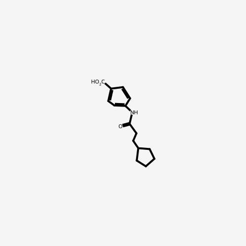 O=C(CCC1CCCC1)Nc1ccc(C(=O)O)cc1